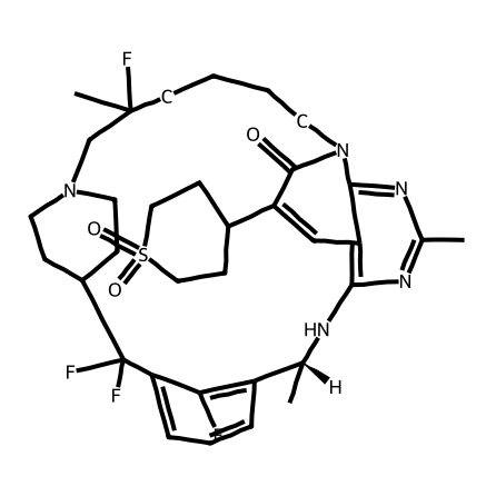 Cc1nc2c3cc(C4CCS(=O)(=O)CC4)c(=O)n(c3n1)CCCCC(C)(F)CN1CCC(CC1)C(F)(F)c1cccc(c1F)[C@@H](C)N2